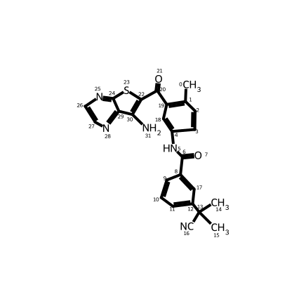 Cc1ccc(NC(=O)c2cccc(C(C)(C)C#N)c2)cc1C(=O)c1sc2nccnc2c1N